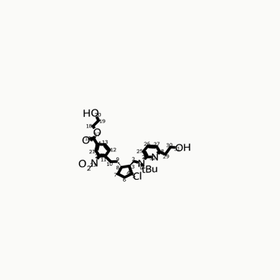 CC(C)(C)N(C[C@H]1C(Cl)CC[C@@H]1CCc1ccc(C(=O)OCCO)cc1[N+](=O)[O-])c1cccc(CCO)n1